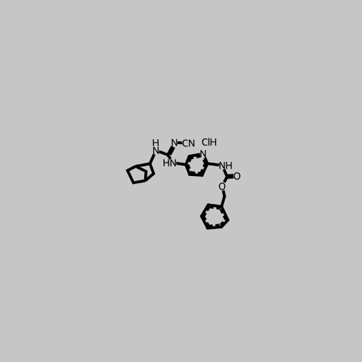 Cl.N#CN=C(Nc1ccc(NC(=O)OCc2ccccc2)nc1)NC1CC2CCC1C2